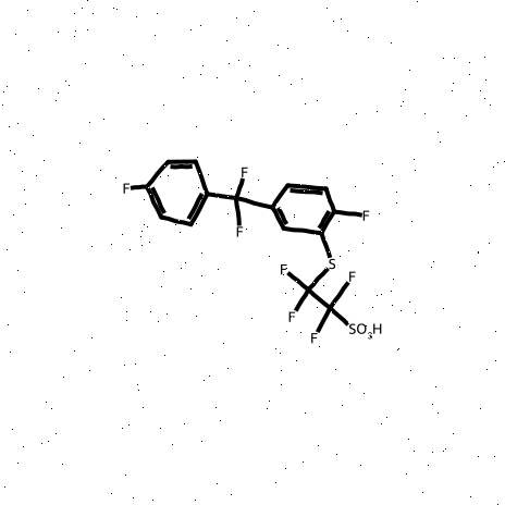 O=S(=O)(O)C(F)(F)C(F)(F)Sc1cc(C(F)(F)c2ccc(F)cc2)ccc1F